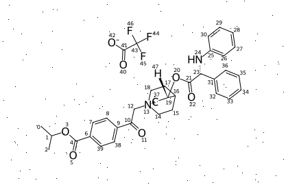 CC(C)OC(=O)c1ccc(C(=O)C[N+]23CCC(CC2)[C@@H](OC(=O)[C@H](Nc2ccccc2)c2ccccc2)C3)cc1.O=C([O-])C(F)(F)F